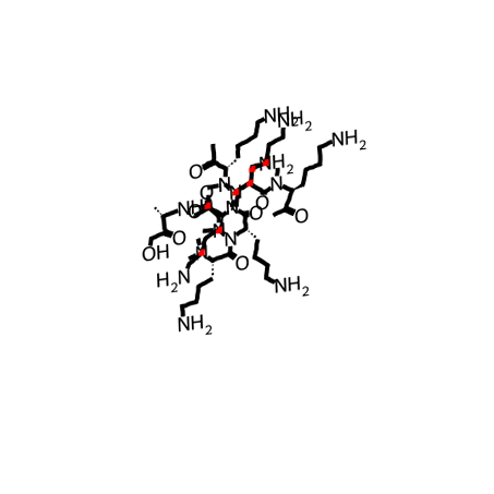 CC(=O)[C@H](CCCCN)N(C)C(=O)[C@H](CCCCN)N(N(C)[C@@H](CCCCN)C(C)=O)N(C(=O)[C@H](CCCCN)N(C(=O)[C@H](CCCCN)N(C)C)N(C)[C@@H](CCCCN)C(C)=O)[C@@H](CCCCN)C(=O)CN[C@@H](C)C(=O)CO